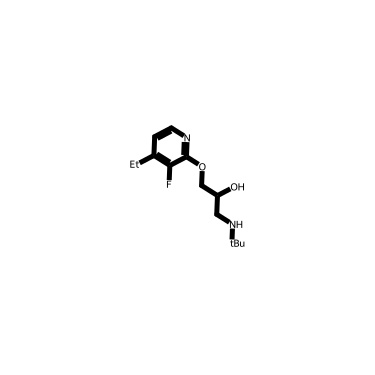 CCc1ccnc(OCC(O)CNC(C)(C)C)c1F